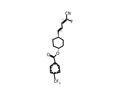 N#C/C(F)=C/C=C/[C@H]1CC[C@H](OC(=O)c2ccc(C(F)(F)F)cc2)CC1